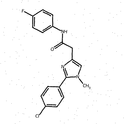 Cn1cc(CC(=O)Nc2ccc(F)cc2)nc1-c1ccc(Cl)cc1